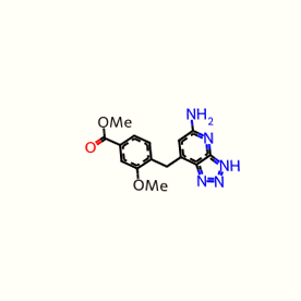 COC(=O)c1ccc(Cc2cc(N)nc3[nH]nnc23)c(OC)c1